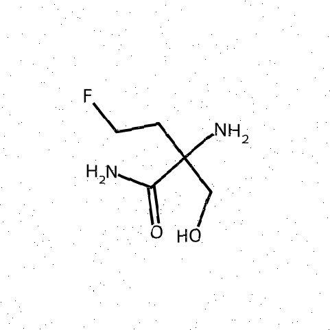 NC(=O)C(N)(CO)CCF